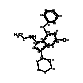 CCNc1nn(C2CCCCO2)c2cc(Cl)nc(Cc3ccccc3)c12